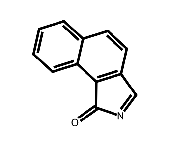 O=C1N=Cc2ccc3ccccc3c21